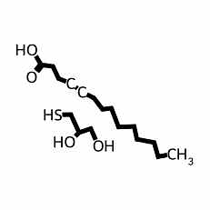 CCCCCCCCCCCCCC(=O)O.OCC(O)CS